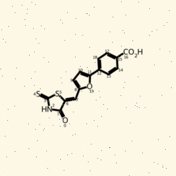 O=C1NC(=S)S/C1=C\c1ccc(-c2ccc(C(=O)O)cc2)o1